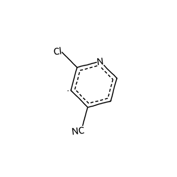 N#Cc1[c]c(Cl)ncc1